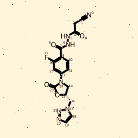 N#CCC(=O)NNC(=O)c1ccc(N2C[C@H](Cn3ccnn3)OC2=O)cc1F